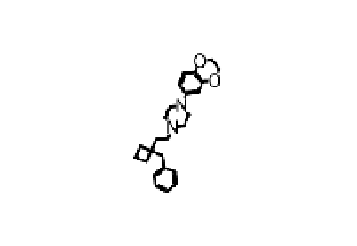 c1ccc(CC2(CCN3CCN(c4ccc5c(c4)OCCO5)CC3)CCC2)cc1